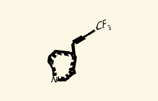 FC(F)(F)C#Cc1ccncc1